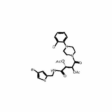 CC(=O)OC(C(=O)N1CCN(c2ccccc2Cl)CC1)[C@@H](OC(C)=O)C(=O)NCc1cc(Br)cs1